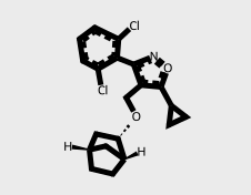 Clc1cccc(Cl)c1-c1noc(C2CC2)c1CO[C@H]1C[C@H]2CC[C@@H]1C2